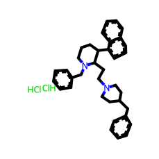 Cl.Cl.c1ccc(CC2CCN(CCC3C(c4cccc5ccccc45)CCCN3Cc3ccccc3)CC2)cc1